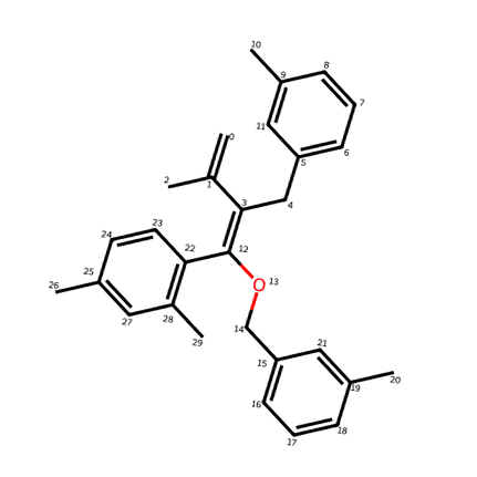 C=C(C)/C(Cc1cccc(C)c1)=C(/OCc1cccc(C)c1)c1ccc(C)cc1C